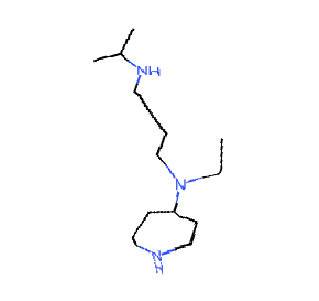 CCN(CCCNC(C)C)C1CCNCC1